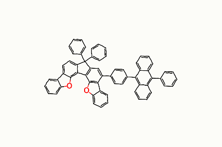 c1ccc(-c2c3ccccc3c(-c3ccc(-c4cc5c(c6oc7ccccc7c46)-c4c(ccc6c4oc4ccccc46)C5(c4ccccc4)c4ccccc4)cc3)c3ccccc23)cc1